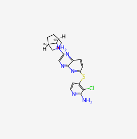 Nc1nccc(Sc2ccc3nc(N4C[C@@H]5CC[C@@H](C4)C5N)cnc3n2)c1Cl